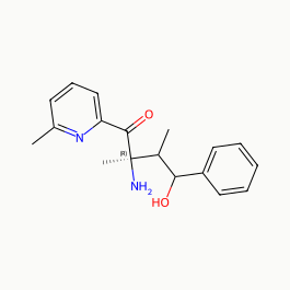 Cc1cccc(C(=O)[C@](C)(N)C(C)C(O)c2ccccc2)n1